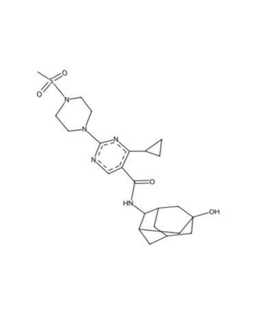 CS(=O)(=O)N1CCN(c2ncc(C(=O)NC3C4CC5CC3CC(O)(C5)C4)c(C3CC3)n2)CC1